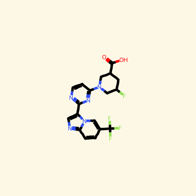 O=C(O)C1CC(F)CN(c2ccnc(-c3cnc4ccc(C(F)(F)F)cn34)n2)C1